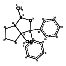 CB1OC(c2ccccc2)(c2ccccc2)C2(C)CCCN12